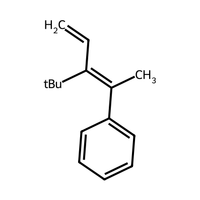 C=C/C(=C(\C)c1ccccc1)C(C)(C)C